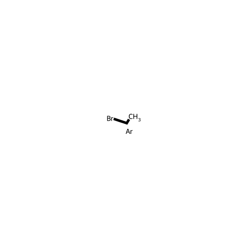 CCBr.[Ar]